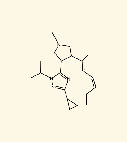 C=C/C=C\C=C(/C)C1CN(C)CC1c1nc(C2CC2)nn1C(C)C